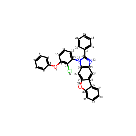 Clc1c(Oc2ccccc2)cccc1-n1c(-c2ccccc2)nc2cc3c(cc21)oc1ccccc13